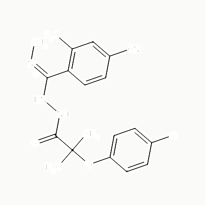 C/N=C(/NNC(=O)C(C)(C)Oc1ccc(Cl)cc1)c1ccc(C#N)cc1C(F)(F)F